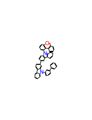 c1ccc2c(c#1)-c1c(cccc1-n1c3c(c4cc(-c5ccc6c7ccccc7n(-c7cccc(-c8ccccc8)c7)c6c5)ccc41)C=CCC3)OC2